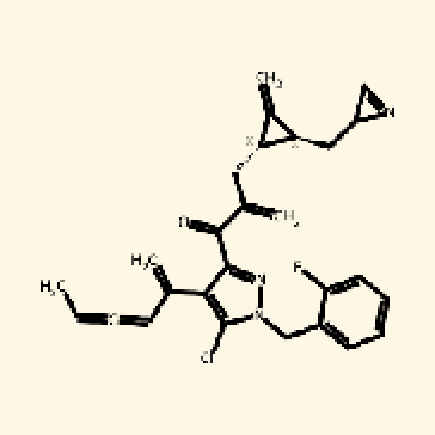 C=C(C[C@@H]1C(=C)[C@H]1CC1C=N1)C(=O)c1nn(Cc2ccccc2F)c(Cl)c1C(=C)C=C=CC